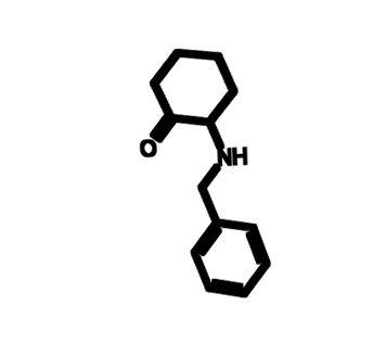 O=C1CCCCC1NCc1ccccc1